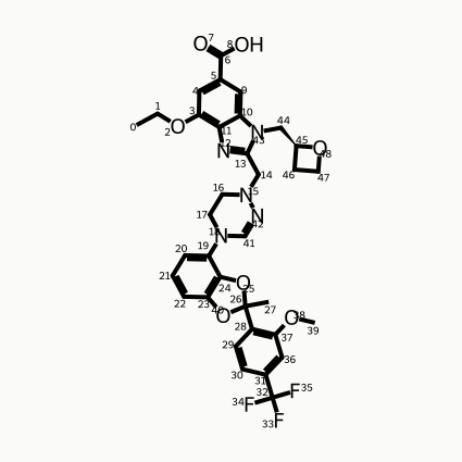 CCOc1cc(C(=O)O)cc2c1nc(CN1CCN(c3cccc4c3OC(C)(c3ccc(C(F)(F)F)cc3OC)O4)C=N1)n2C[C@@H]1CCO1